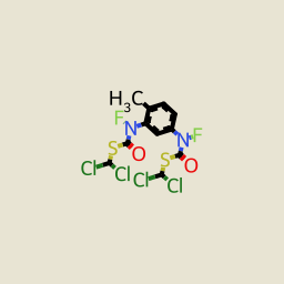 Cc1ccc(N(F)C(=O)SC(Cl)Cl)cc1N(F)C(=O)SC(Cl)Cl